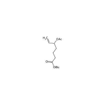 C=CC(CCCC(=O)OCC(C)C)OC(C)=O